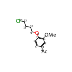 COc1cc(C(C)=O)ccc1OCCCCCl